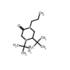 CCCN1CC(C(C)(C)C)N(C(C)(C)C)CC1=O